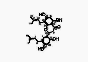 CC(C)=CCc1cc([C@@H]2CC(=O)c3c(O)cc(O)c(CC=C(C)C)c3O2)c(O)cc1O